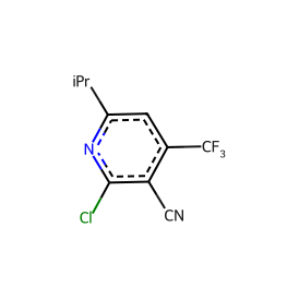 CC(C)c1cc(C(F)(F)F)c(C#N)c(Cl)n1